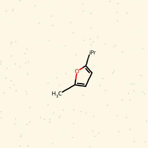 Cc1ccc(C(C)C)o1